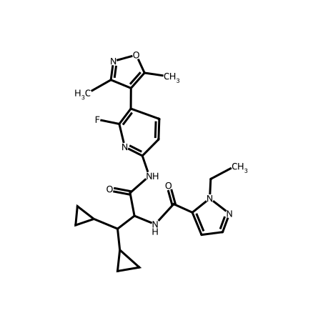 CCn1nccc1C(=O)NC(C(=O)Nc1ccc(-c2c(C)noc2C)c(F)n1)C(C1CC1)C1CC1